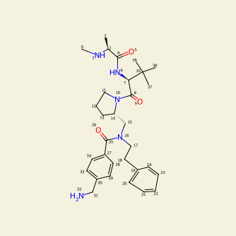 CN[C@@H](C)C(=O)N[C@H](C(=O)N1CCC[C@H]1CN(CCc1ccccc1)C(=O)c1ccc(CN)cc1)C(C)(C)C